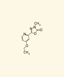 CCOc1ccnc(-c2nn(C)c(=O)o2)c1